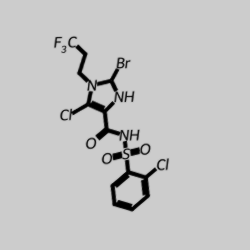 O=C(NS(=O)(=O)c1ccccc1Cl)C1=C(Cl)N(CCC(F)(F)F)C(Br)N1